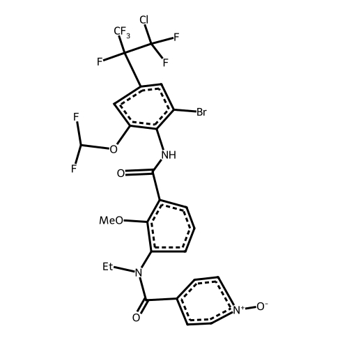 CCN(C(=O)c1cc[n+]([O-])cc1)c1cccc(C(=O)Nc2c(Br)cc(C(F)(C(F)(F)F)C(F)(F)Cl)cc2OC(F)F)c1OC